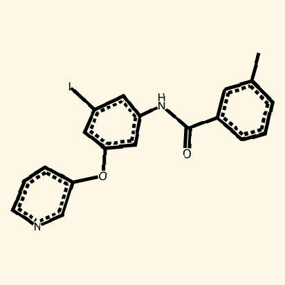 Cc1cccc(C(=O)Nc2cc(I)cc(Oc3cccnc3)c2)c1